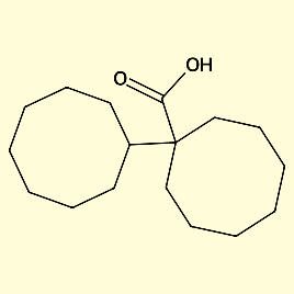 O=C(O)C1(C2CCCCCCC2)CCCCCCC1